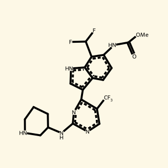 COC(=O)Nc1ccc2c(-c3nc(NC4CCCNC4)ncc3C(F)(F)F)c[nH]c2c1C(F)F